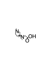 CN1CC[C@@H](N(C)CC(=O)O)C1